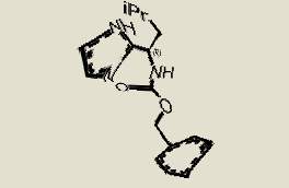 CC(C)C[C@@H](NC(=O)OCc1ccccc1)c1ncc[nH]1